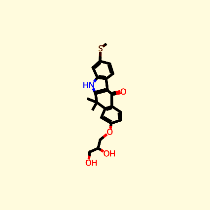 CSc1ccc2c3c([nH]c2c1)C(C)(C)c1cc(OCC(O)CO)ccc1C3=O